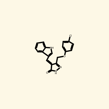 O=C1NN=C(COc2ccc(Cl)cc2)C1=Cc1c[nH]c2ccccc12